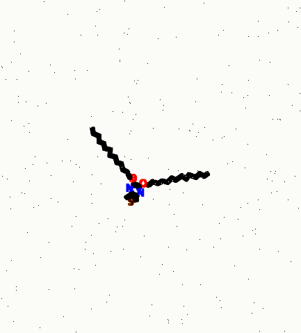 CCCCCCCCCCCCCCOc1nc2cscc2nc1OCCCCCCCCCCCCCC